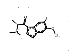 C[C@@H](C(=O)n1ccc2cc(OC(F)(F)F)c(F)cc21)N(C)C